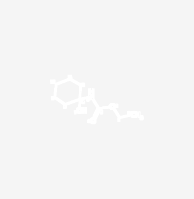 CCOC(=O)NC1(O)CCCCC1